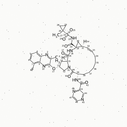 Cc1nc2cccc(F)c2nc1O[C@@H]1C[C@H]2C(=O)N[C@]3(C(=O)NS(=O)(=O)C4(C)CC4)C[C@H]3C=CCCCCC[C@H](NC(=O)c3cnccn3)C(=O)N2C1